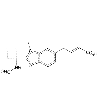 Cn1c(C2(N[C]=O)CCC2)nc2ccc(CC=CC(=O)O)cc21